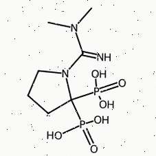 CN(C)C(=N)N1CC[C]C1(P(=O)(O)O)P(=O)(O)O